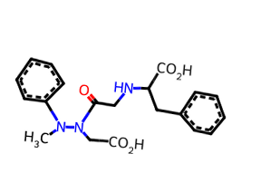 CN(c1ccccc1)N(CC(=O)O)C(=O)CNC(Cc1ccccc1)C(=O)O